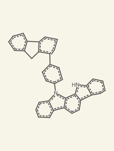 c1ccc2c(c1)Cc1c(-c3ccc(-n4c5ccccc5c5ccc6c7ccccc7[nH]c6c54)cc3)cccc1-2